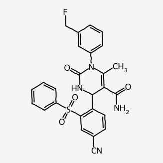 CC1=C(C(N)=O)C(c2ccc(C#N)cc2S(=O)(=O)c2ccccc2)NC(=O)N1c1cccc(CF)c1